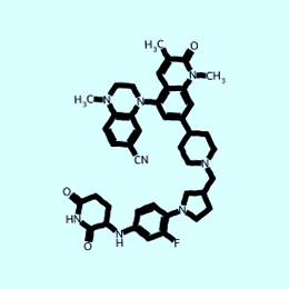 Cc1cc2c(N3CCN(C)c4ccc(C#N)cc43)cc(C3CCN(CC4CCN(c5ccc(NC6CCC(=O)NC6=O)cc5F)C4)CC3)cc2n(C)c1=O